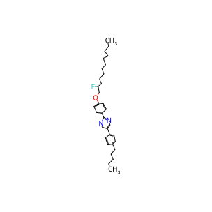 CCCCCCCCCCC(F)COc1ccc(-c2ncc(-c3ccc(CCCCC)cc3)cn2)cc1